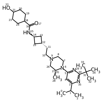 CC(C)c1cc(N2CCN(CC[C@H]3C[C@H](NC(=O)C4CCC(O)CC4)C3)C[C@@H]2C)nc(C(C)(C)C)n1